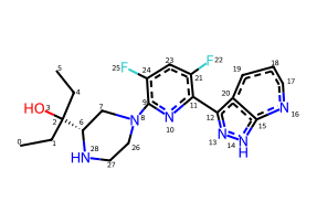 CCC(O)(CC)[C@@H]1CN(c2nc(-c3n[nH]c4ncccc34)c(F)cc2F)CCN1